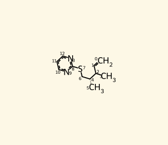 C=CC(C)[C@H](C)CSc1ncccn1